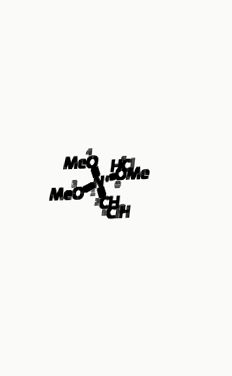 CO[N+](C)(OC)OC.Cl.Cl